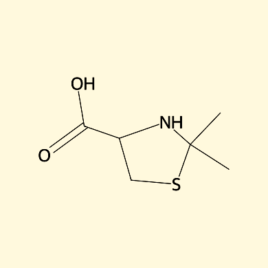 CC1(C)NC(C(=O)O)CS1